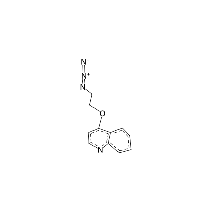 [N-]=[N+]=NCCOc1ccnc2ccccc12